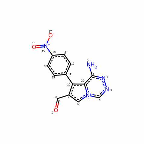 Nc1nncn2cc(C=O)c(-c3ccc([N+](=O)[O-])cc3)c12